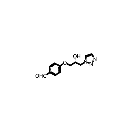 O=Cc1ccc(OC[C@H](O)Cn2ccnn2)cc1